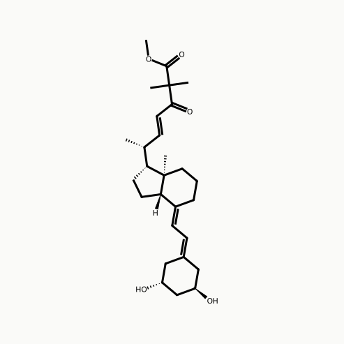 COC(=O)C(C)(C)C(=O)/C=C/[C@@H](C)[C@H]1CC[C@H]2/C(=C/C=C3C[C@@H](O)C[C@H](O)C3)CCC[C@]12C